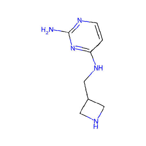 Nc1nccc(NCC2CNC2)n1